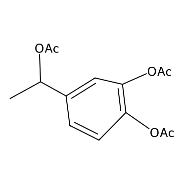 CC(=O)Oc1ccc(C(C)OC(C)=O)cc1OC(C)=O